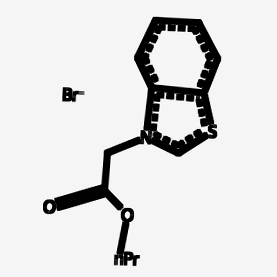 CCCOC(=O)C[n+]1csc2ccccc21.[Br-]